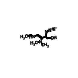 C=CN/C=C(/C(CO)N=[N+]=[N-])N(C)C